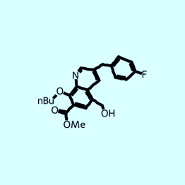 CCCCOc1c(C(=O)OC)cc(CO)c2cc(Cc3ccc(F)cc3)cnc12